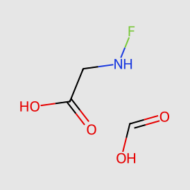 O=C(O)CNF.O=CO